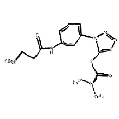 CCCCCCCCCCCCC(=O)Nc1cccc(-n2nnnc2SC(=O)N(C)C)c1